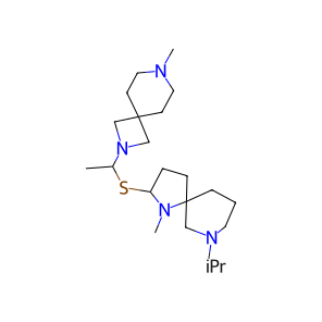 CC(C)N1CCCC2(CCC(SC(C)N3CC4(CCN(C)CC4)C3)N2C)C1